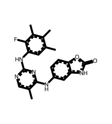 Cc1cnc(Nc2cc(C)c(C)c(C)c2F)nc1Nc1ccc2oc(=O)[nH]c2c1